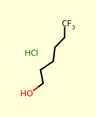 Cl.OCCCCCC(F)(F)F